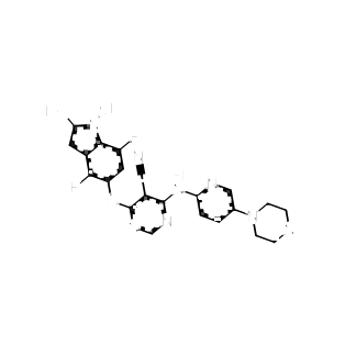 Cc1cc2c(F)c(Oc3ncnc(Nc4ccc(N5CCNCC5)cn4)c3C#N)cc(F)c2n1C